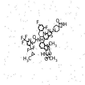 C[C@H]1C[C@H]1C(F)(F)c1cc(C(F)(F)F)nn1CC(=O)N[C@@H](Cc1cc(F)cc(F)c1)c1nc2nc(N3CCC4(CC3)CNC4=O)sc2cc1-c1cccc2c(NS(C)(=O)=O)nn(C)c12